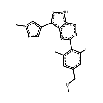 CNCc1cc(C)c(-c2ncc3[nH]nc(-c4cnn(C)c4)c3n2)c(F)c1